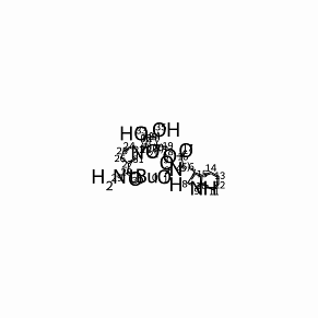 CC(C)(C)OC(=O)N[C@@H](Cc1c[nH]c2ccccc12)C(=O)OC[C@H]1O[C@@H](N2C=CCC(C(N)=O)=C2)[C@H](O)[C@@H]1O